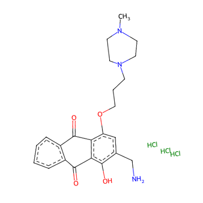 CN1CCN(CCCOc2cc(CN)c(O)c3c2C(=O)c2ccccc2C3=O)CC1.Cl.Cl.Cl